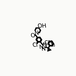 Cn1c(-c2ccc(C(=O)N3CCC(O)CC3)cc2Cl)nnc1C1(c2ccccc2)CC1